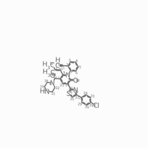 C#Cc1ccccc1-n1c(C=C(C)C)c(C(=O)N2CCNCC2)cc(-c2nc(-c3ccc(Cl)cc3)cs2)c1=O